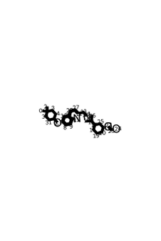 CC1(C)CCC(Oc2ccc3nc(CN4CC(C5CCCC(OC=O)C5)C4)ccc3c2)CC1